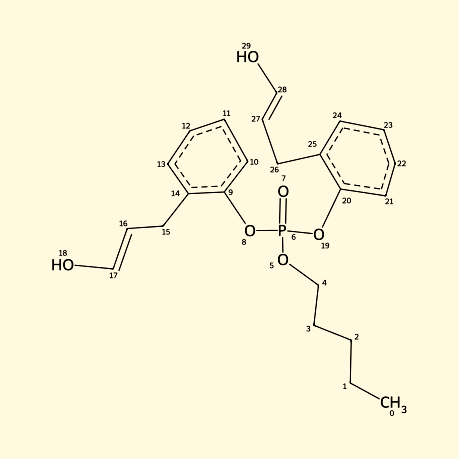 CCCCCOP(=O)(Oc1ccccc1CC=CO)Oc1ccccc1CC=CO